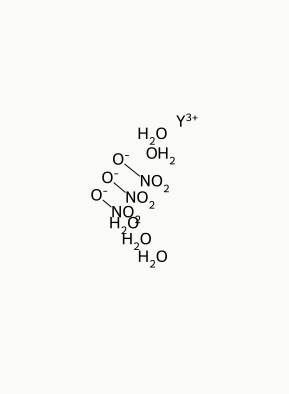 O.O.O.O.O.O=[N+]([O-])[O-].O=[N+]([O-])[O-].O=[N+]([O-])[O-].[Y+3]